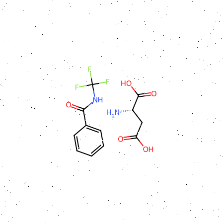 N[C@@H](CC(=O)O)C(=O)O.O=C(NC(F)(F)F)c1ccccc1